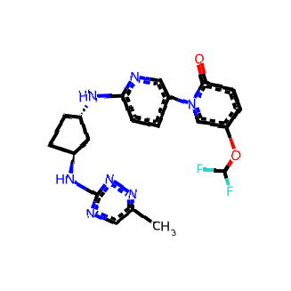 Cc1cnc(N[C@H]2CC[C@H](Nc3ccc(-n4cc(OC(F)F)ccc4=O)cn3)C2)nn1